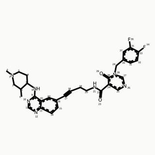 CC1CN(C)CCC1Nc1ncnc2ccc(C#CCCNC(=O)c3cncn(Cc4ccc(F)c(F)c4)c3=O)cc12